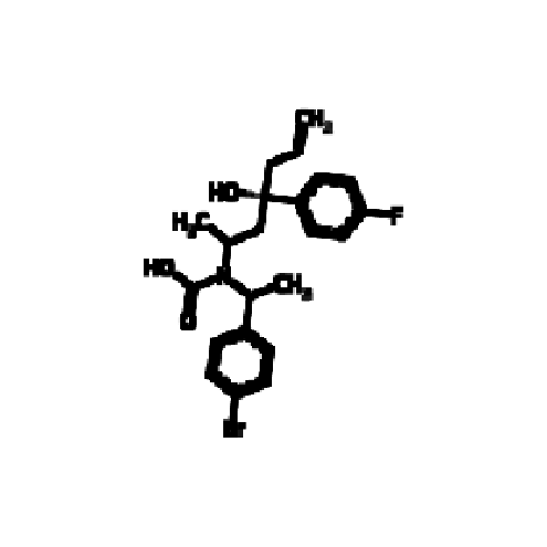 C=CC[C@](O)(CC(C)N(C(=O)O)C(C)c1ccc(Br)cc1)c1ccc(F)cc1